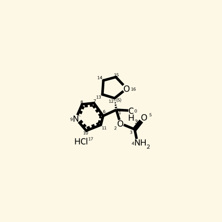 CC(OC(N)=O)(c1ccncc1)[C@@H]1CCCO1.Cl